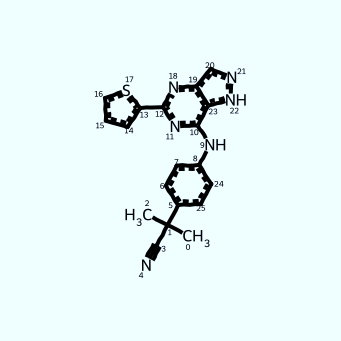 CC(C)(C#N)c1ccc(Nc2nc(-c3cccs3)nc3cn[nH]c23)cc1